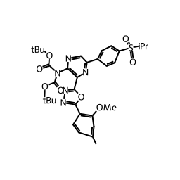 COc1cc(C)ccc1-c1nnc(-c2nc(-c3ccc(S(=O)(=O)C(C)C)cc3)cnc2N(C(=O)OC(C)(C)C)C(=O)OC(C)(C)C)o1